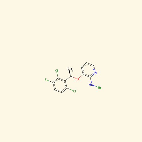 C[C@@H](Oc1cccnc1NBr)c1c(Cl)ccc(F)c1Cl